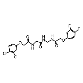 O=C(CNC(=O)COc1ccc(Cl)c(Cl)c1)NCNC(=O)COc1ccc(F)c(F)c1